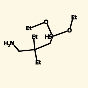 CCO[SiH](CC(CC)(CC)CN)OCC